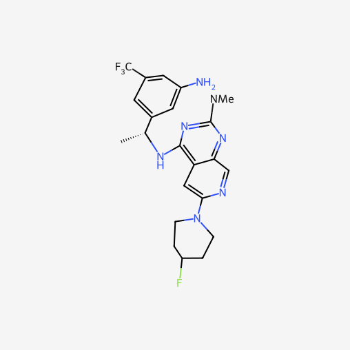 CNc1nc(N[C@H](C)c2cc(N)cc(C(F)(F)F)c2)c2cc(N3CCC(F)CC3)ncc2n1